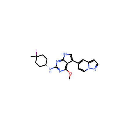 COc1nc(N[C@H]2CC[C@@](C)(I)CC2)nc2[nH]cc(-c3ccn4nccc4c3)c12